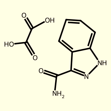 NC(=O)c1n[nH]c2ccccc12.O=C(O)C(=O)O